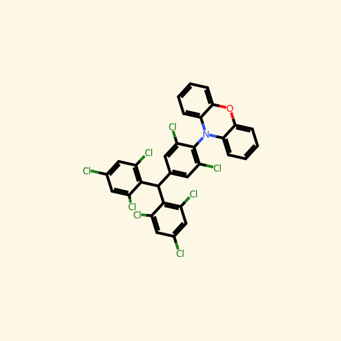 Clc1cc(Cl)c(C(c2cc(Cl)c(N3c4ccccc4Oc4ccccc43)c(Cl)c2)c2c(Cl)cc(Cl)cc2Cl)c(Cl)c1